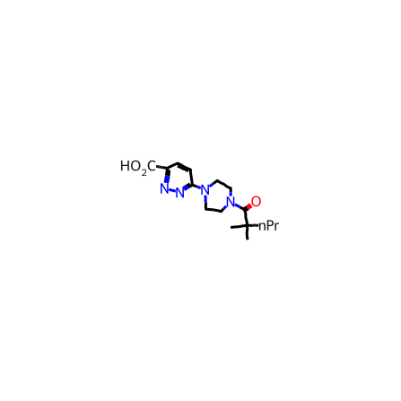 CCCC(C)(C)C(=O)N1CCN(c2ccc(C(=O)O)nn2)CC1